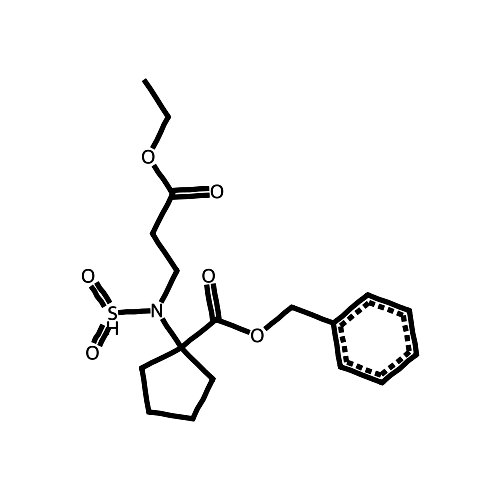 CCOC(=O)CCN([SH](=O)=O)C1(C(=O)OCc2ccccc2)CCCC1